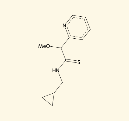 COC(C(=S)NCC1CC1)c1ccccn1